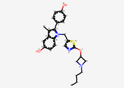 CCCCN1CC(Oc2ncc(Cn3c(-c4ccc(O)cc4)c(C)c4cc(O)ccc43)s2)C1